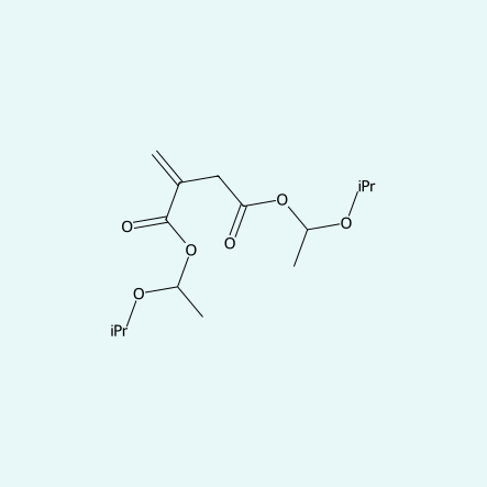 C=C(CC(=O)OC(C)OC(C)C)C(=O)OC(C)OC(C)C